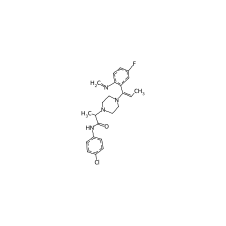 C=Nc1ccc(F)cc1/C(=C\C)N1CCN(C(C)C(=O)Nc2ccc(Cl)cc2)CC1